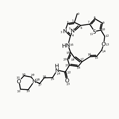 Cc1cnc2nc1-c1ccc(s1)COC/C=C/c1cc(cc(C(=O)NCCCN3CCOCC3)c1)N2